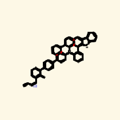 C=C/C=C\c1cccc(-c2ccc(-c3ccc(N(c4ccccc4-c4ccccc4)c4ccccc4-c4cccc5c4sc4ccccc45)cc3)cc2)c1C